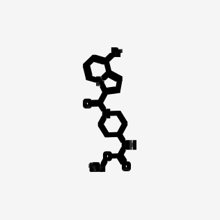 CC(C)(C)OC(=O)NC1CCN(C(=O)c2ccc3c(Br)cccn23)CC1